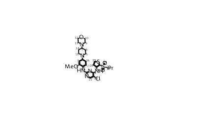 COc1cc(N2CCC(N3CCOCC3)CC2)ccc1Nc1ncc(Cl)c(Nc2ccsc2S(=O)(=O)C(C)C)n1